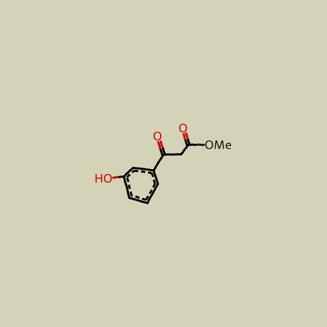 COC(=O)CC(=O)c1cccc(O)c1